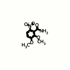 COc1ccc([N+](=O)[O-])c(C(N)=O)c1OC